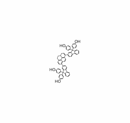 Oc1ccc(C2(c3ccc(O)cc3)c3ccccc3-c3ccc(C4=CCC5CCc6ccc(-c7ccc8c(c7)C(c7ccc(O)cc7)(c7ccc(O)cc7)c7ccccc7-8)c7ccc4c5c67)cc32)cc1